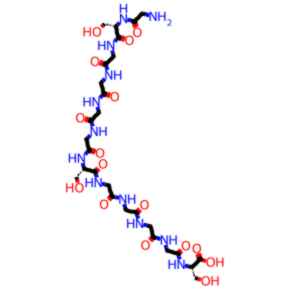 NCC(=O)N[C@@H](CO)C(=O)NCC(=O)NCC(=O)NCC(=O)NCC(=O)N[C@@H](CO)C(=O)NCC(=O)NCC(=O)NCC(=O)NCC(=O)N[C@@H](CO)C(=O)O